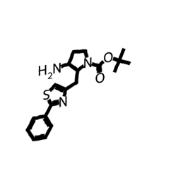 CC(C)(C)OC(=O)N1CCC(N)C1Cc1csc(-c2ccccc2)n1